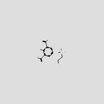 CC(=O)c1cccc(C(=O)[O-])c1O.C[N+](C)(C)CCO